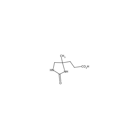 CC1(CCC(=O)O)CNC(=O)N1